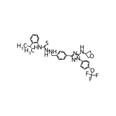 CC(C)c1ccccc1NC(=S)NNCc1ccc(-c2nc(NC3COC3)n(-c3ccc(OC(F)(F)F)cc3)n2)cc1